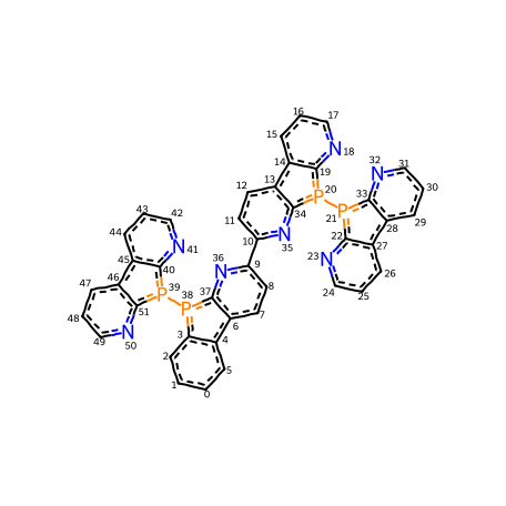 c1ccc2c(c1)c1ccc(-c3ccc4c5cccnc5p(-p5c6ncccc6c6cccnc65)c4n3)nc1p2-p1c2ncccc2c2cccnc21